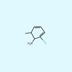 CC1C=CC=C(F)C1N